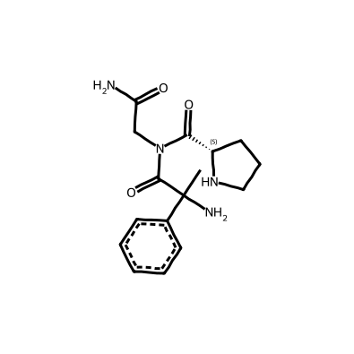 CC(N)(C(=O)N(CC(N)=O)C(=O)[C@@H]1CCCN1)c1ccccc1